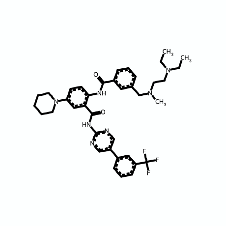 CCN(CC)CCN(C)Cc1cccc(C(=O)Nc2ccc(N3CCCCC3)cc2C(=O)Nc2ncc(-c3cccc(C(F)(F)F)c3)cn2)c1